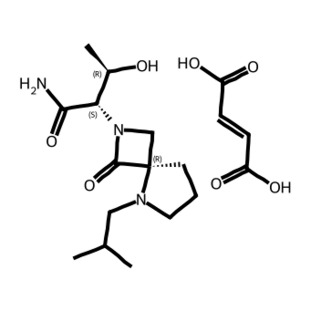 CC(C)CN1CCC[C@]12CN([C@H](C(N)=O)[C@@H](C)O)C2=O.O=C(O)C=CC(=O)O